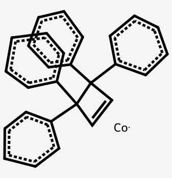 C1=CC(c2ccccc2)(c2ccccc2)C1(c1ccccc1)c1ccccc1.[Co]